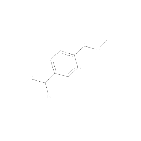 COCc1ccc(C(C)Br)cc1